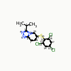 CC(C)c1nnc2ccc(Sc3c(Cl)cc(Cl)cc3Cl)cn12